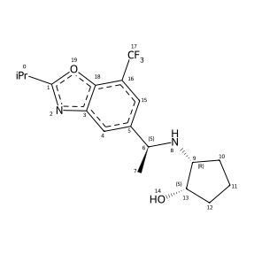 CC(C)c1nc2cc([C@H](C)N[C@@H]3CCC[C@@H]3O)cc(C(F)(F)F)c2o1